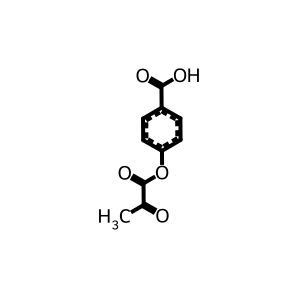 CC(=O)C(=O)Oc1ccc(C(=O)O)cc1